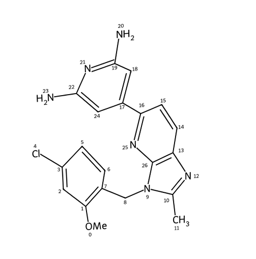 COc1cc(Cl)ccc1Cn1c(C)nc2ccc(-c3cc(N)nc(N)c3)nc21